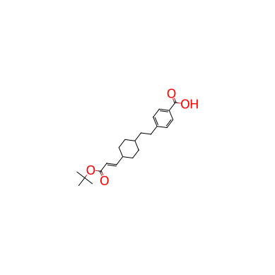 CC(C)(C)OC(=O)/C=C/C1CCC(CCc2ccc(C(=O)O)cc2)CC1